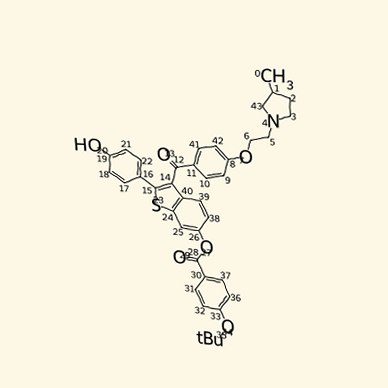 CC1CCN(CCOc2ccc(C(=O)c3c(-c4ccc(O)cc4)sc4cc(OC(=O)c5ccc(OC(C)(C)C)cc5)ccc34)cc2)C1